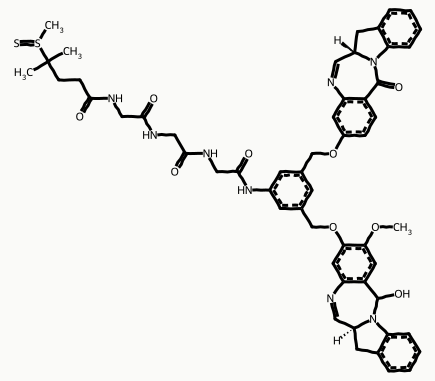 COc1cc2c(cc1OCc1cc(COc3ccc4c(c3)N=C[C@@H]3Cc5ccccc5N3C4=O)cc(NC(=O)CNC(=O)CNC(=O)CNC(=O)CCC(C)(C)S(C)=S)c1)N=C[C@@H]1Cc3ccccc3N1C2O